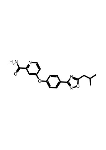 CC(C)Cc1nc(-c2ccc(Oc3ccnc(C(N)=O)c3)cc2)no1